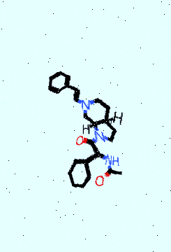 CC(=O)NC(C(=O)N1CC[C@H]2CCN(C=Cc3ccccc3)C[C@H]21)C1CCCCC1